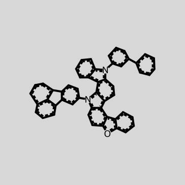 c1ccc(-c2cccc(-n3c4ccccc4c4c3ccc3c5c6c(ccc5n(-c5ccc7c(c5)-c5cccc8cccc-7c58)c34)oc3ccccc36)c2)cc1